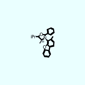 Cc1ccc2c(oc3ccccc32)c1N1C(c2ccccc2)OC(C(C)C)[C@@H]1C